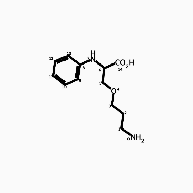 NCCCOCC(Nc1ccccc1)C(=O)O